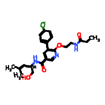 CCC(=O)NCCOc1ncc(C(=O)N[C@@H](CO)CC(C)C)cc1-c1ccc(Cl)cc1